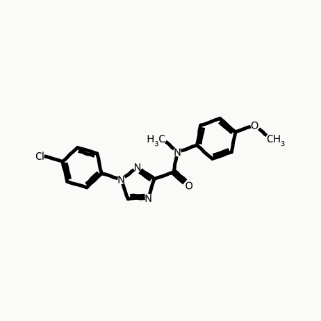 COc1ccc(N(C)C(=O)c2ncn(-c3ccc(Cl)cc3)n2)cc1